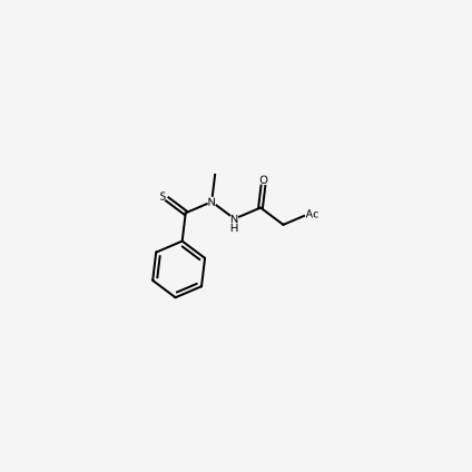 CC(=O)CC(=O)NN(C)C(=S)c1ccccc1